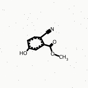 COC(=O)c1cc(O)ccc1C#N